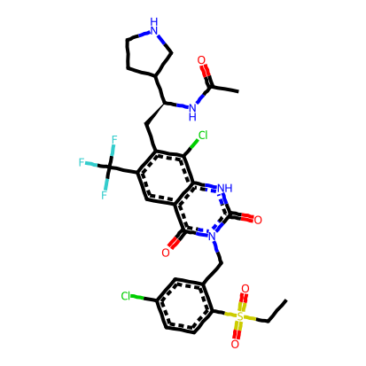 CCS(=O)(=O)c1ccc(Cl)cc1Cn1c(=O)[nH]c2c(Cl)c(C[C@H](NC(C)=O)C3CCNC3)c(C(F)(F)F)cc2c1=O